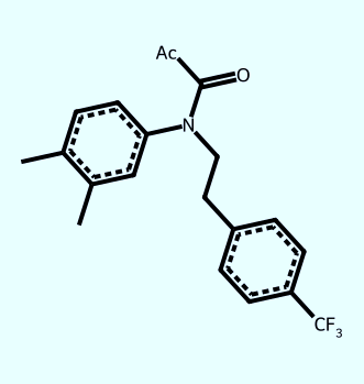 CC(=O)C(=O)N(CCc1ccc(C(F)(F)F)cc1)c1ccc(C)c(C)c1